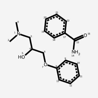 CN(C)CC(O)COc1ccccc1.NC(=O)c1ccccc1